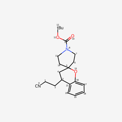 [C-]#[N+]CCC1CC2(CCN(C(=O)OC(C)(C)C)CC2)Oc2ccccc21